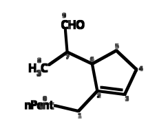 CCCCCCC1=CCCC1C(C)C=O